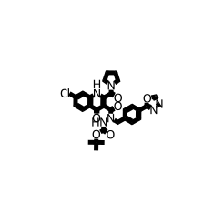 CC(C)(C)OC(=O)NN(Cc1ccc(-c2nnco2)cc1)C(=O)c1c(C(=O)N2CCCC2)[nH]c2cc(Cl)ccc2c1=O